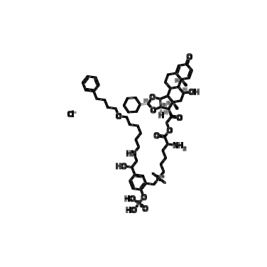 C[C@]12C=CC(=O)C=C1CCC1C2[C@@H](O)C[C@@]2(C)C1C1O[C@@H](C3CCCCC3)O[C@@H]1[C@@H]2C(=O)COC(=O)C(N)CCCC[N+](C)(C)Cc1cc(C(O)CNCCCCCCOCCCCc2ccccc2)ccc1OP(=O)(O)O.[Cl-]